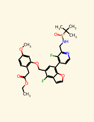 CCOC(=O)Cc1ccc(OC)cc1OCc1cc(-c2ccnc(CN[S+]([O-])C(C)(C)C)c2F)c2occc2c1F